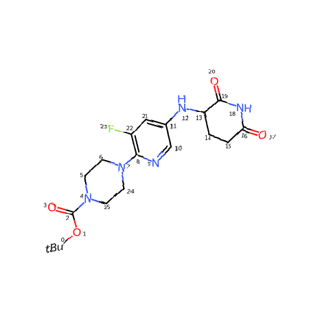 CC(C)(C)OC(=O)N1CCN(c2ncc(NC3CCC(=O)NC3=O)cc2F)CC1